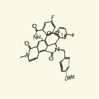 COc1ccc(CN2C(=O)c3c(c(-c4c(C(N)=O)cc(F)cc4C(F)(F)F)cc4c(=O)n(C)ccc34)C2c2cc(F)ccc2Cl)cc1